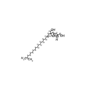 CC(C)CCCCCCCCCCCCCCCOCC(CO)(CO)COCC(O)CO